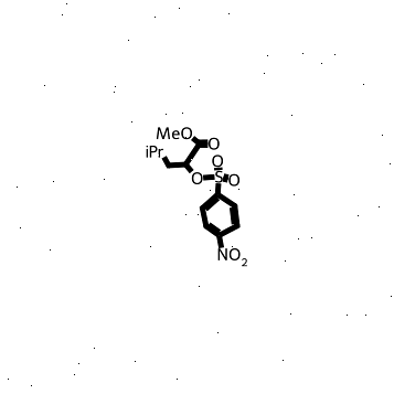 COC(=O)C(CC(C)C)OS(=O)(=O)c1ccc([N+](=O)[O-])cc1